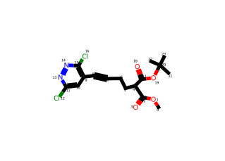 COC(=O)C(CCC#Cc1cc(Cl)nnc1Cl)C(=O)OC(C)(C)C